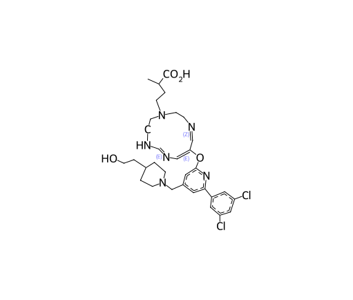 CC(CCN1CC\N=C/C(Oc2cc(CN3CCC(CCO)CC3)cc(-c3cc(Cl)cc(Cl)c3)n2)=C\N=C\NCC1)C(=O)O